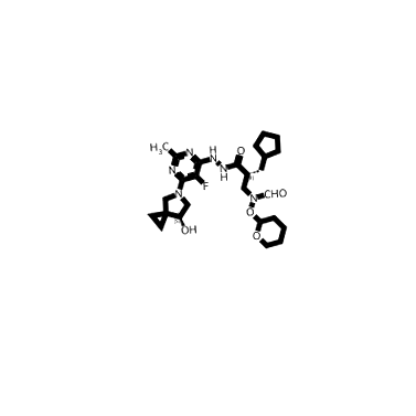 Cc1nc(NNC(=O)[C@H](CC2CCCC2)CN(C=O)OC2CCCCO2)c(F)c(N2C[C@@H](O)C3(CC3)C2)n1